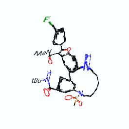 CNC(=O)c1c(-c2ccc(F)cc2)oc2cc3c(cc12)-c1cc(C(=O)NC(C)(C)C)cc(c1)N(S(C)(=O)=O)CCCCCCN3